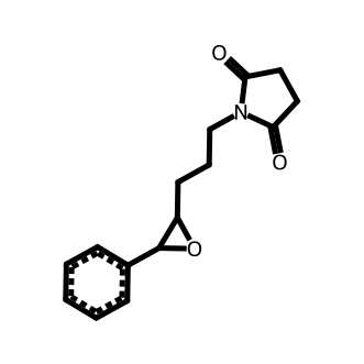 O=C1CCC(=O)N1CCCC1OC1c1ccccc1